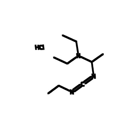 CCN=C=NC(C)N(CC)CC.Cl